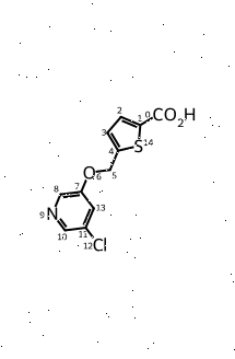 O=C(O)c1ccc(COc2cncc(Cl)c2)s1